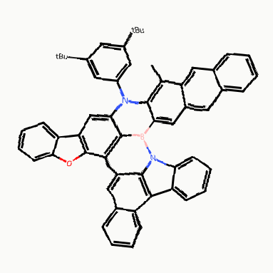 Cc1c2c(cc3cc4ccccc4cc13)B1c3c(cc4c(oc5ccccc54)c3-c3cc4ccccc4c4c5ccccc5n1c34)N2c1cc(C(C)(C)C)cc(C(C)(C)C)c1